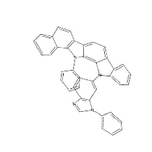 c1ccc(-n2cnc3ccc(-n4c5ccccc5c5ccc6c7ccc8ccccc8c7n(-c7ccccc7)c6c54)cc32)cc1